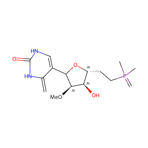 C=C1NC(=O)NC=C1C1O[C@H](CCP(=C)(C)C)[C@@H](O)[C@H]1OC